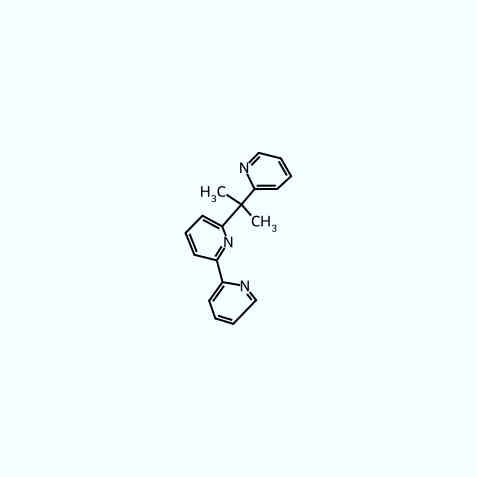 CC(C)(c1ccccn1)c1cccc(-c2ccccn2)n1